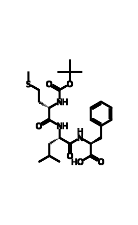 CSCC[C@H](NC(=O)OC(C)(C)C)C(=O)N[C@@H](CC(C)C)C(=O)N[C@@H](Cc1ccccc1)C(=O)O